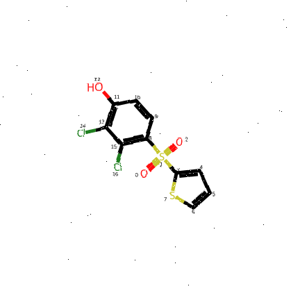 O=S(=O)(c1cccs1)c1ccc(O)c(Cl)c1Cl